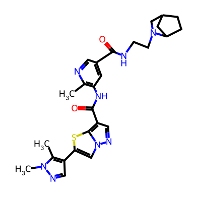 Cc1ncc(C(=O)NCCN2CC3CCC2C3)cc1NC(=O)c1cnn2cc(-c3cnn(C)c3C)sc12